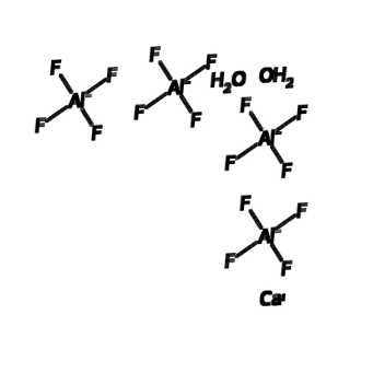 O.O.[Ca].[F][Al-]([F])([F])[F].[F][Al-]([F])([F])[F].[F][Al-]([F])([F])[F].[F][Al-]([F])([F])[F]